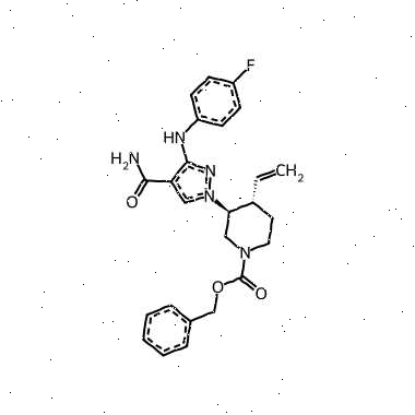 C=C[C@@H]1CCN(C(=O)OCc2ccccc2)C[C@H]1n1cc(C(N)=O)c(Nc2ccc(F)cc2)n1